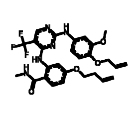 C=CCCOc1ccc(C(=O)NC)c(Nc2nc(Nc3ccc(OCC=C)c(OC)c3)ncc2C(F)(F)F)c1